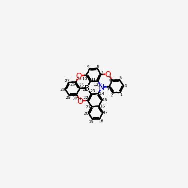 c1ccc2c(c1)Oc1ccc3c4c1N2c1cc2ccccc2c2c1B4c1c(cccc1O2)O3